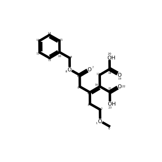 COCCC(CC(=O)OCc1ccccc1)=C(CC(=O)O)C(=O)O